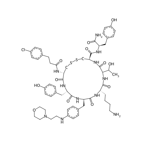 CC(O)C1NC(=O)[C@H](CCCCN)NC(=O)[C@@H](Cc2ccc(NCCN3CCOCC3)cc2)NC(=O)[C@H](Cc2ccc(O)cc2)NC(=O)[C@H](NC(=O)CCc2ccc(Cl)cc2)CSSC[C@@H](C(=O)N[C@H](Cc2ccc(O)cc2)C(N)=O)NC1=O